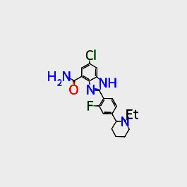 CCN1CCCCC1c1ccc(-c2nc3c(C(N)=O)cc(Cl)cc3[nH]2)c(F)c1